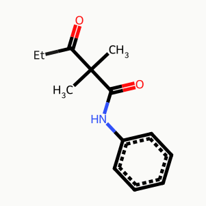 CCC(=O)C(C)(C)C(=O)Nc1ccccc1